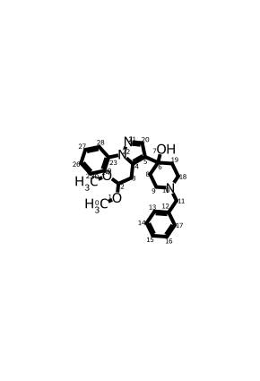 COC(Cc1c(C2(O)CCN(Cc3ccccc3)CC2)cnn1-c1ccccc1)OC